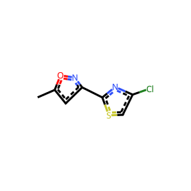 Cc1cc(-c2nc(Cl)cs2)no1